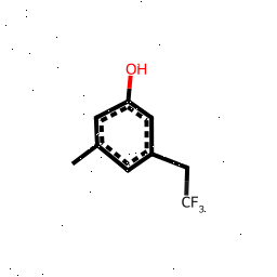 Cc1cc(O)cc(CC(F)(F)F)c1